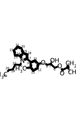 C=C(C)C(=O)OCC(O)COc1ccc(C)c(-c2cc3ccccc3n2CCCCC)c1